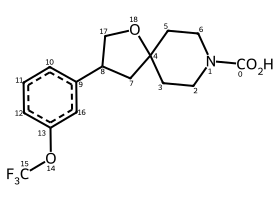 O=C(O)N1CCC2(CC1)CC(c1cccc(OC(F)(F)F)c1)CO2